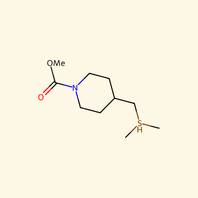 COC(=O)N1CCC(C[SH](C)C)CC1